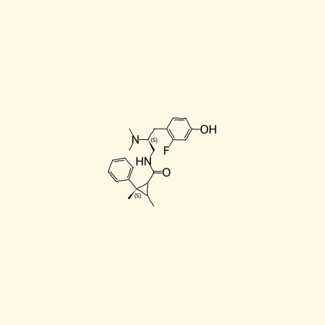 CC1C(C(=O)NC[C@H](Cc2ccc(O)cc2F)N(C)C)[C@@]1(C)c1ccccc1